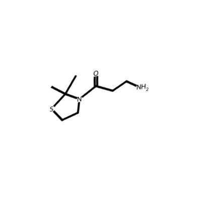 CC1(C)SCCN1C(=O)CCN